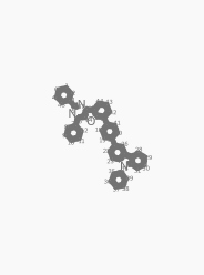 c1ccc(-c2nc(-c3ccccc3)c3oc4c(-c5ccc(-c6ccc7c(c6)c6ccccc6n7-c6ccccc6)cc5)cccc4c3n2)cc1